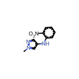 Cn1cc(Nc2ccccc2[N+](=O)[O-])cn1